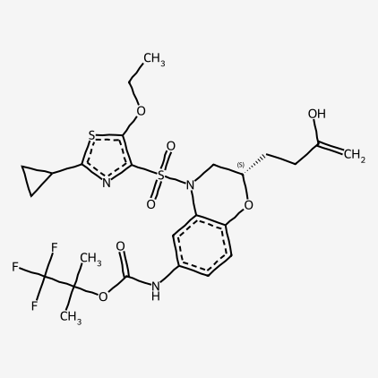 C=C(O)CC[C@H]1CN(S(=O)(=O)c2nc(C3CC3)sc2OCC)c2cc(NC(=O)OC(C)(C)C(F)(F)F)ccc2O1